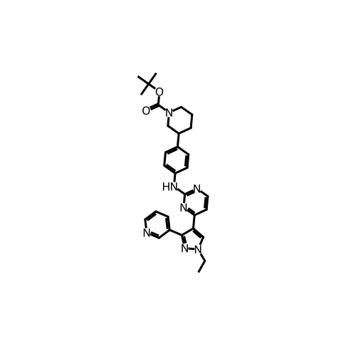 CCn1cc(-c2ccnc(Nc3ccc(C4CCCN(C(=O)OC(C)(C)C)C4)cc3)n2)c(-c2cccnc2)n1